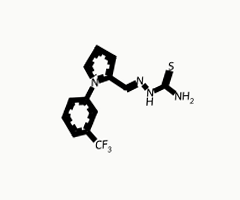 NC(=S)N/N=C/c1cccn1-c1cccc(C(F)(F)F)c1